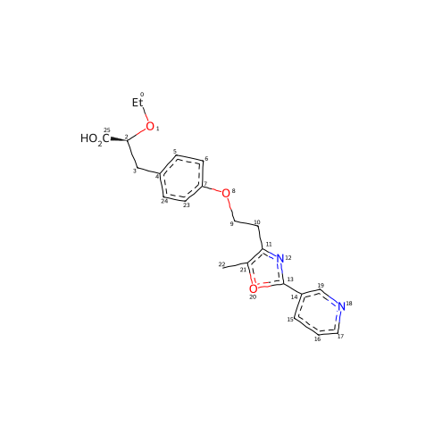 CCO[C@@H](Cc1ccc(OCCc2nc(-c3cccnc3)oc2C)cc1)C(=O)O